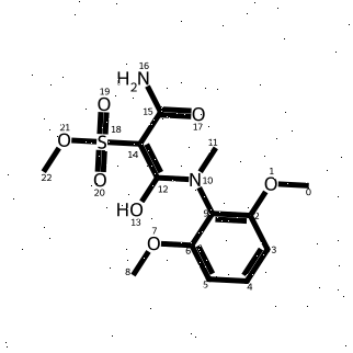 COc1cccc(OC)c1N(C)/C(O)=C(\C(N)=O)S(=O)(=O)OC